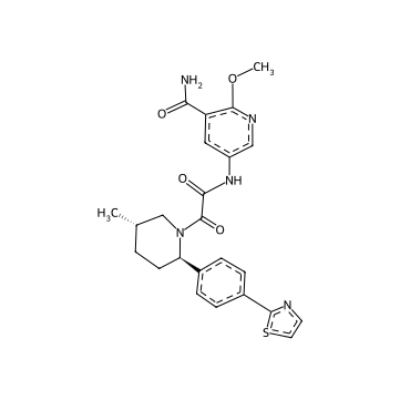 COc1ncc(NC(=O)C(=O)N2C[C@@H](C)CC[C@@H]2c2ccc(-c3nccs3)cc2)cc1C(N)=O